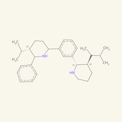 CC(C)C(C)[C@H]1CCCN[C@@H]1c1cccc(C2CC[C@@H](C(C)C)C(c3ccccc3)N2)c1